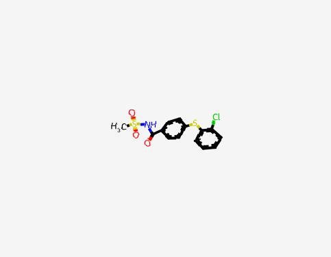 CS(=O)(=O)NC(=O)c1ccc(Sc2ccccc2Cl)cc1